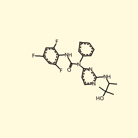 CC(Nc1nccc(N(C(=O)Nc2c(F)cc(F)cc2F)c2ccccc2)n1)C(C)(C)O